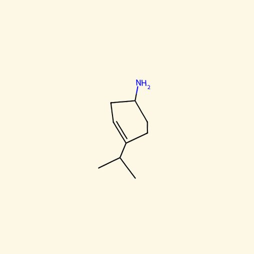 CC(C)C1=CCC(N)CC1